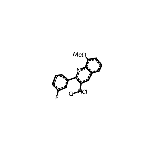 COc1cccc2cc(CCl)c(-c3cccc(F)c3)nc12.Cl